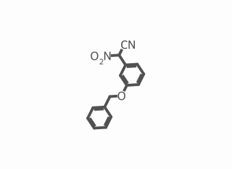 N#CC(c1cccc(OCc2ccccc2)c1)[N+](=O)[O-]